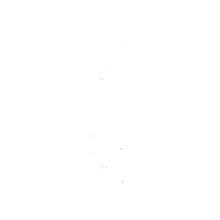 C=C(C)OC(=O)Nc1ccc(Oc2ccnc3c2N=CC(O)N3)cc1F